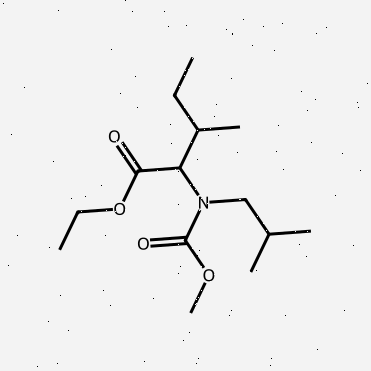 CCOC(=O)C(C(C)CC)N(CC(C)C)C(=O)OC